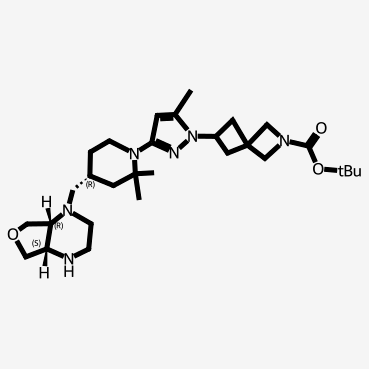 Cc1cc(N2CC[C@@H](CN3CCN[C@@H]4COC[C@@H]43)CC2(C)C)nn1C1CC2(C1)CN(C(=O)OC(C)(C)C)C2